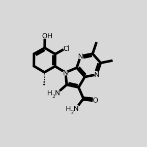 Cc1nc2c(C(N)=O)c(N)n(C3=C(Cl)C(O)=CC[C@H]3C)c2nc1C